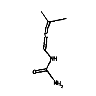 CC(C)=C=CNC(N)=O